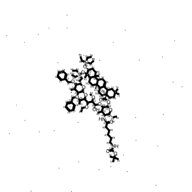 CCOC(C(O[C@@H]1OCC(OCc2ccccc2)C(C)C1OCc1ccccc1)C(C)C)C(OC)[C@@H](O)OC1C(C)[C@@H](NC(=O)CCCCCNC(=O)OC(C)(C)C)[C@@H](CC)O[C@H]1OC(=O)[C@]12CCC(C)(C)CC1C1=CCC3C4(C)CC[C@H](O[Si](CC)(CC)CC)C(C)(O[Si](CC)(CC)CC)C4CC[C@@]3(C)[C@]1(C)CC2